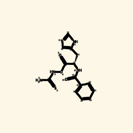 NC(=S)NOC(=O)[C@H](Cc1cnc[nH]1)NC(=O)c1ccccc1